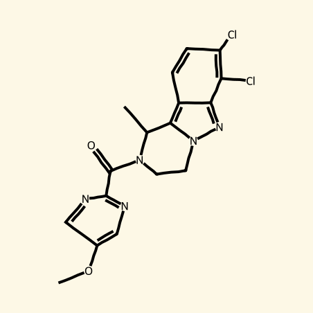 COc1cnc(C(=O)N2CCn3nc4c(Cl)c(Cl)ccc4c3C2C)nc1